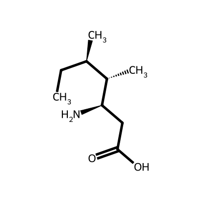 CC[C@@H](C)[C@H](C)[C@H](N)CC(=O)O